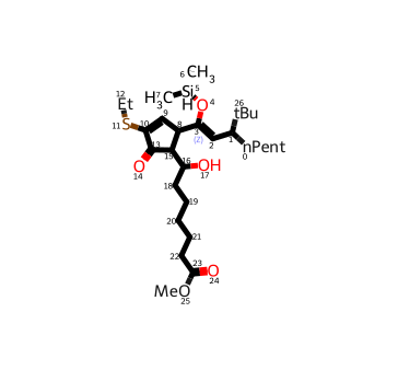 CCCCCC(/C=C(\O[SiH](C)C)C1C=C(SCC)C(=O)C1C(O)CCCCCC(=O)OC)C(C)(C)C